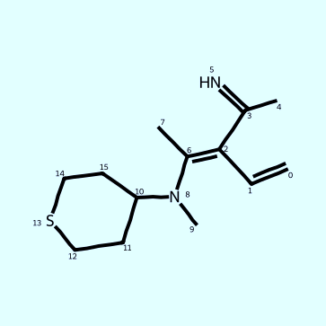 C=C/C(C(C)=N)=C(/C)N(C)C1CCSCC1